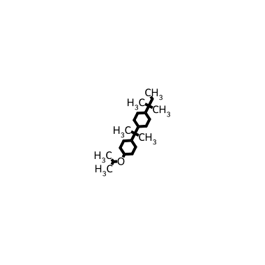 CCC(C)(C)C1CCC(C(C)(C)C2CCC(OC(C)C)CC2)CC1